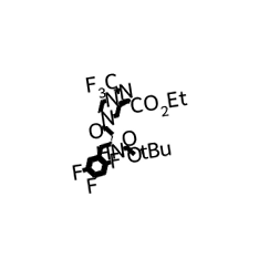 CCOC(=O)c1nc(C(F)(F)F)n2c1CN(C(=O)C[C@@H](Cc1cc(F)c(F)cc1F)NC(=O)OC(C)(C)C)CC2